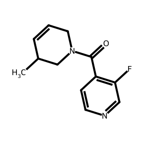 CC1C=CCN(C(=O)c2ccncc2F)C1